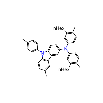 CCCCCCc1cc(N(c2ccc(C)c(CCCCCC)c2)c2ccc3c(c2)c2cc(C)ccc2n3-c2ccc(C)cc2)ccc1C